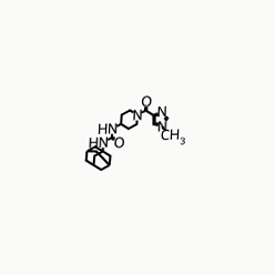 Cn1cnc(C(=O)N2CCC(NC(=O)NC34CC5CC(CC(C5)C3)C4)CC2)c1